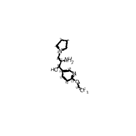 N[C@H](CN1CCCC1)[C@H](O)c1ccc(OCC(F)(F)F)nc1